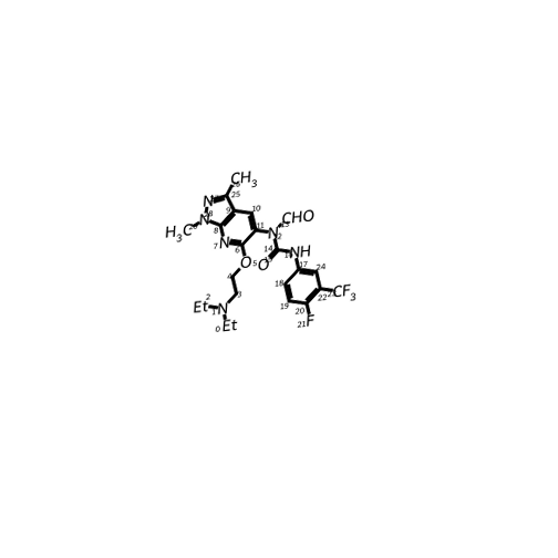 CCN(CC)CCOc1nc2c(cc1N(C=O)C(=O)Nc1ccc(F)c(C(F)(F)F)c1)c(C)nn2C